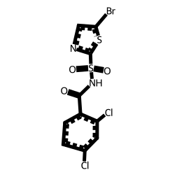 O=C(NS(=O)(=O)c1ncc(Br)s1)c1ccc(Cl)cc1Cl